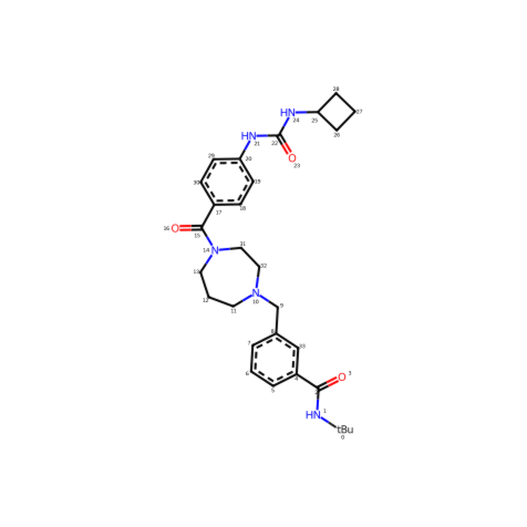 CC(C)(C)NC(=O)c1cccc(CN2CCCN(C(=O)c3ccc(NC(=O)NC4CCC4)cc3)CC2)c1